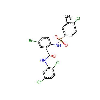 Cc1cc(S(=O)(=O)Nc2ccc(Br)cc2C(=O)Nc2cc(Cl)ccc2Cl)ccc1Cl